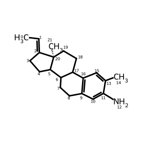 CC=C1CCC2C3CCc4cc(N)c(C)cc4C3CC[C@]12C